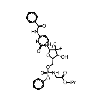 CC(C)OC(=O)CNP(=O)(OC[C@H]1O[C@@H](n2ccc(NC(=O)c3ccccc3)nc2=O)[C@](C)(F)[C@@H]1O)Oc1ccccc1